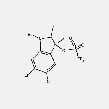 CCN1c2cc(Cl)c(Cl)cc2[N+](C)(OS(=O)(=O)C(F)(F)F)C1C